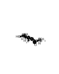 CC[C@H]1CN(c2nc(N)c(C(=O)NCCO)nc2Cl)CCN1C1CCN(Cc2ccc(Cl)cc2OCCNS(C)(=O)=O)CC1